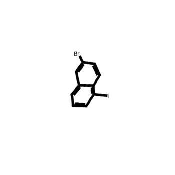 Brc1ccc2c(I)cccc2c1